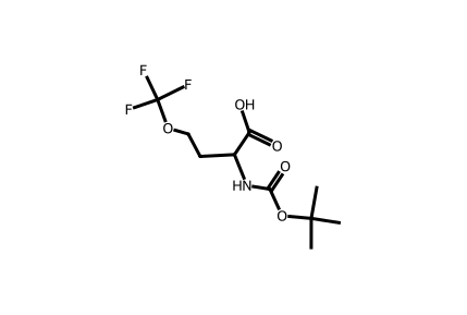 CC(C)(C)OC(=O)NC(CCOC(F)(F)F)C(=O)O